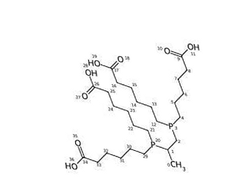 CC(CP(CCCCCC(=O)O)CCCCCC(=O)O)P(CCCCCC(=O)O)CCCCCC(=O)O